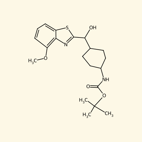 COc1cccc2sc(C(O)C3CCC(NC(=O)OC(C)(C)C)CC3)nc12